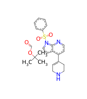 CC(C)(C)OC=O.O=S(=O)(c1ccccc1)n1ccc2c(C3=CCNCC3)ccnc21